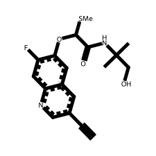 C#Cc1cnc2cc(F)c(OC(SC)C(=O)NC(C)(C)CO)cc2c1